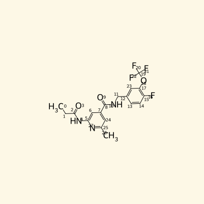 CCC(=O)Nc1cc(C(=O)NCc2ccc(F)c(OC(F)(F)F)c2)cc(C)n1